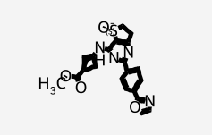 COC(=O)C12CC(Nc3nc(-c4ccc(-c5ncco5)cc4)nc4c3[S@+]([O-])CC4)(C1)C2